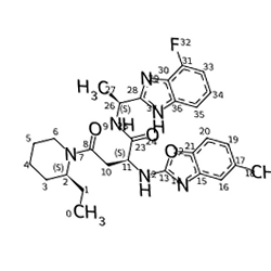 CC[C@H]1CCCCN1C(=O)C[C@H](Nc1nc2cc(C)ccc2o1)C(=O)N[C@@H](C)c1nc2c(F)cccc2[nH]1